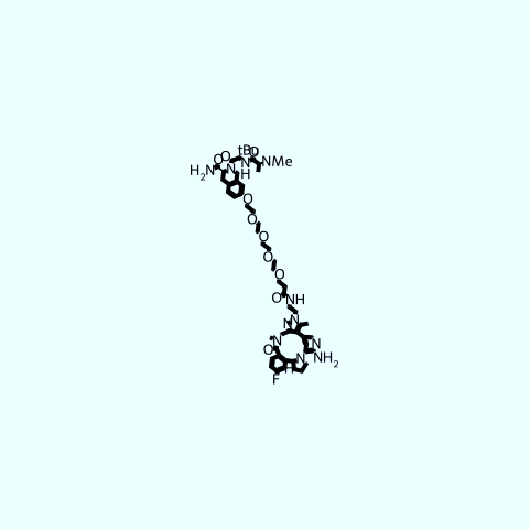 CN[C@@H](C)C(=O)N[C@H](C(=O)N1Cc2cc(OCCOCCOCCOCCOCCC(=O)NCCn3nc4c(c3C)-c3cnc(N)c(c3)N3CCC[C@@H]3c3cc(F)ccc3C(=O)N(C)C4)ccc2C[C@H]1C(N)=O)C(C)(C)C